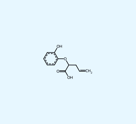 C=CCC(Oc1ccccc1O)C(=O)O